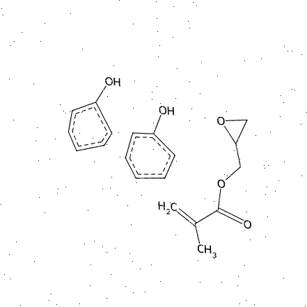 C=C(C)C(=O)OCC1CO1.Oc1ccccc1.Oc1ccccc1